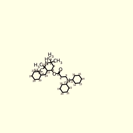 CC1(C)CC(OC(=O)CCN(C2CCCCC2)C2CCCCC2)C(CC2CCCCC2)C(C)(C)N1